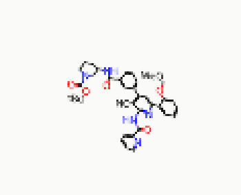 COCOc1ccccc1-c1cc(-c2cccc(C(=O)NC3CCCN(C(=O)OC(C)(C)C)C3)c2)c(C#N)c(NC(=O)c2ccccn2)n1